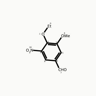 CCOc1c(OC)cc(C=O)cc1[N+](=O)[O-]